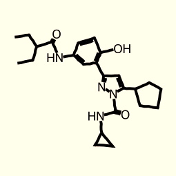 CCC(CC)C(=O)Nc1ccc(O)c(-c2cc(C3CCCC3)n(C(=O)NC3CC3)n2)c1